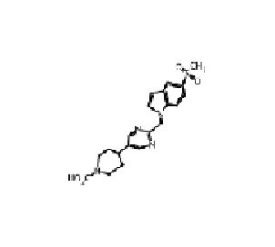 CS(=O)(=O)c1ccc2c(ccn2Cc2ncc(C3CCN(C(=O)O)CC3)cn2)c1